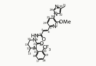 COc1nc(C=CC(=O)NN2CCC(C)N(c3ccccc3C(F)(F)F)C2=O)ccc1-n1cnc(C)c1